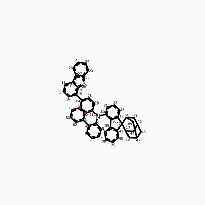 c1ccc(-c2ccccc2N(c2ccc(-c3cccc4c3sc3ccccc34)cc2)c2cccc3c2-c2ccccc2C32C3CC4CC(C3)CC2C4)cc1